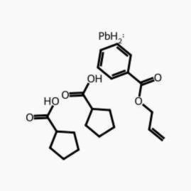 C=CCOC(=O)c1ccccc1.O=C(O)C1CCCC1.O=C(O)C1CCCC1.[PbH2]